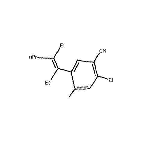 CCC/C(CC)=C(\CC)c1cc(C#N)c(Cl)cc1C